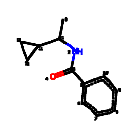 CC(NC(=O)c1[c]cccc1)C1CC1